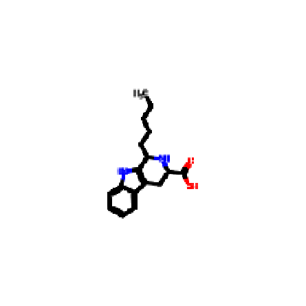 CCCCCC1NC(C(=O)O)Cc2c1[nH]c1ccccc21